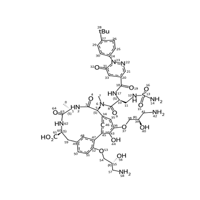 C[C@@H]1NC(=O)[C@@H](N(C)C(=O)[C@H](CNS(N)(=O)=O)NC(=O)c2cnn(-c3ccc(C(C)(C)C)cc3)c(=O)c2)c2cc(OC[C@H](O)CN)c(O)c(c2)-c2cc(ccc2OC[C@H](O)CN)C[C@@H](C(=O)O)NC1=O